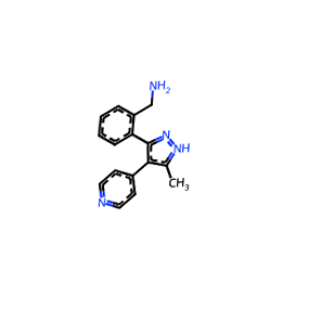 Cc1[nH]nc(-c2ccccc2CN)c1-c1ccncc1